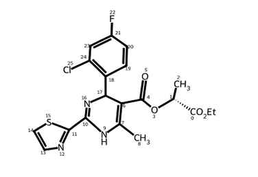 CCOC(=O)[C@@H](C)OC(=O)C1=C(C)NC(c2nccs2)=NC1c1ccc(F)cc1Cl